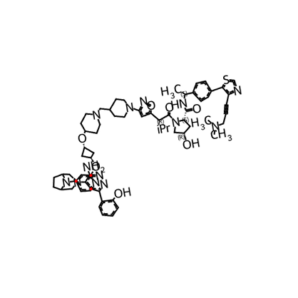 CC(C)[C@@H](C(=O)N1C[C@H](O)C[C@H]1C(=O)N[C@@H](C)c1ccc(-c2scnc2C#CCN(C)C)cc1)c1cc(N2CCC(CN3CCC(O[C@H]4C[C@H](Oc5cc(N6C7CCC6CN(c6cc(-c8ccccc8O)nnc6N)C7)ccn5)C4)CC3)CC2)no1